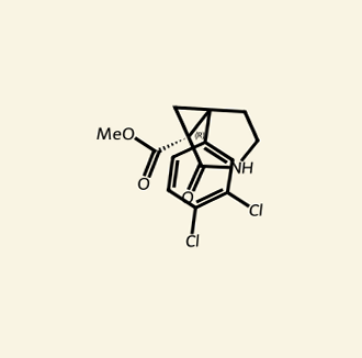 COC(=O)[C@]12CC1(c1ccc(Cl)c(Cl)c1)CCNC2=O